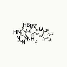 Br.Nc1ncnc2[nH]cc(-c3ccc(Oc4ccccc4)cc3)c12